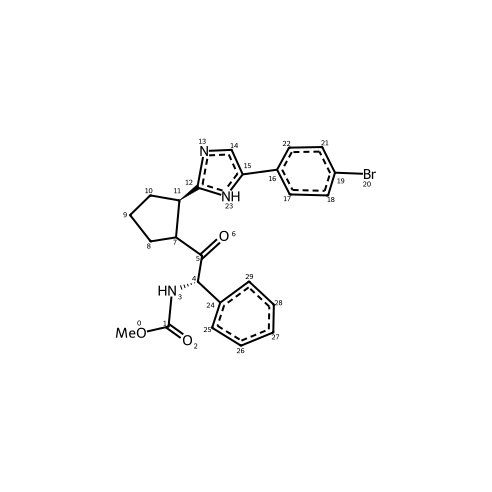 COC(=O)N[C@H](C(=O)C1CCC[C@H]1c1ncc(-c2ccc(Br)cc2)[nH]1)c1ccccc1